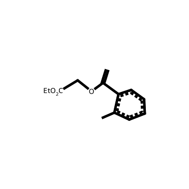 C=C(OCC(=O)OCC)c1ccccc1C